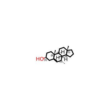 C[C@@H]1C=C2C[C@@H](O)CC[C@]2(C)[C@H]2CC[C@]3(C)CCC[C@H]3[C@H]12